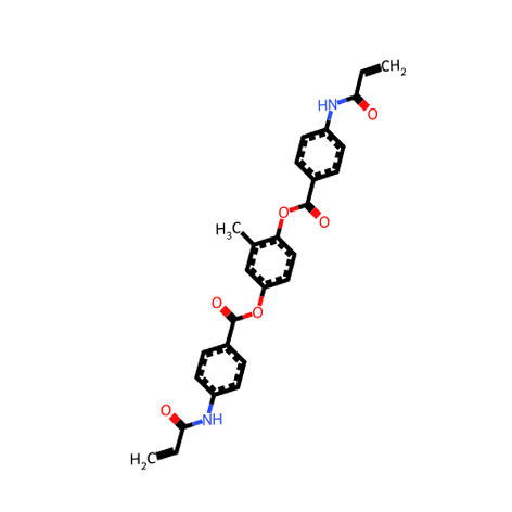 C=CC(=O)Nc1ccc(C(=O)Oc2ccc(OC(=O)c3ccc(NC(=O)C=C)cc3)c(C)c2)cc1